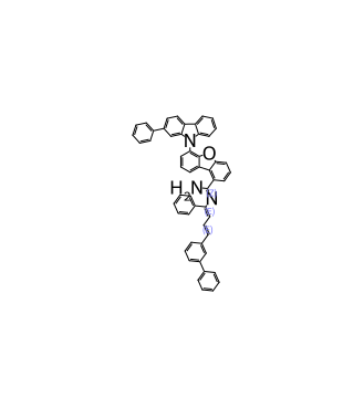 N\C(=N/C(=C/C=C/c1cccc(-c2ccccc2)c1)c1ccccc1)c1cccc2oc3c(-n4c5ccccc5c5ccc(-c6ccccc6)cc54)cccc3c12